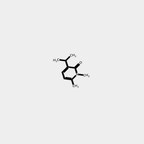 Cc1ccc(C(C)C)c(=O)n1C